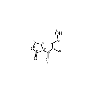 CC(CCO)C(=O)N1CCOC1=O